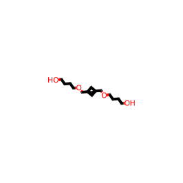 OCCCCOCC12CC(COCCCCO)(C1)C2